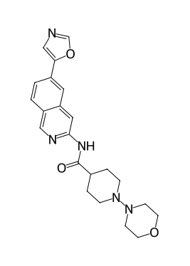 O=C(Nc1cc2cc(-c3cnco3)ccc2cn1)C1CCN(N2CCOCC2)CC1